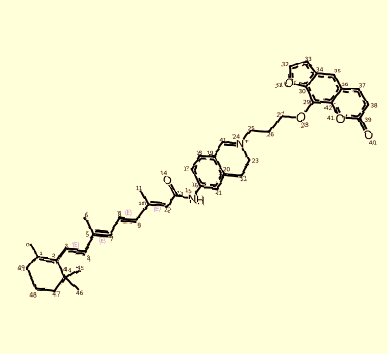 CC1=C(/C=C/C(C)=C/C=C/C(C)=C/C(=O)Nc2ccc3c(c2)CC[N+](CCCOc2c4occc4cc4ccc(=O)oc24)=C3)C(C)(C)CCC1